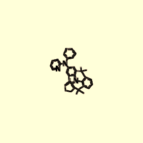 CC1(C)C2=c3c(c4cc(N(c5ccccc5)c5ccccn5)cc5c4n3-c3c1cccc3C5(C)C)=CCC2